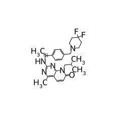 Cc1nc(N[C@@H](C)c2ccc(CN3CCC(F)(F)CC3)cc2)nc2c1ccc(=O)n2CC(C)C